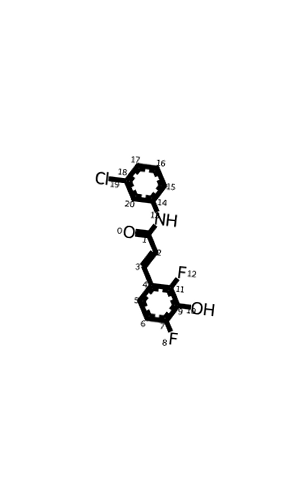 O=C(C=Cc1ccc(F)c(O)c1F)Nc1cccc(Cl)c1